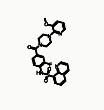 COc1cccnc1N1CCN(C(=O)c2ccc(NS(=O)(=O)c3cccc4cccnc34)c(F)c2)CC1